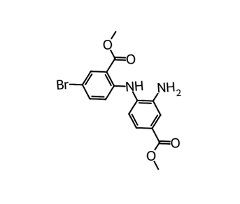 COC(=O)c1ccc(Nc2ccc(Br)cc2C(=O)OC)c(N)c1